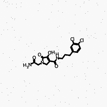 NC(=O)CN1CC(C(=O)NCCCc2ccc(Cl)c(Cl)c2)=C(O)C1=O